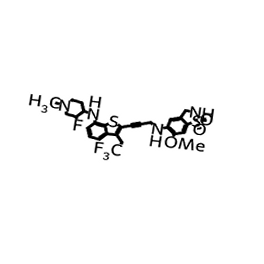 COc1cc2c(cc1NCC#Cc1sc3c(NC4CCN(C)CC4F)cccc3c1CC(F)(F)F)CNS2(=O)=O